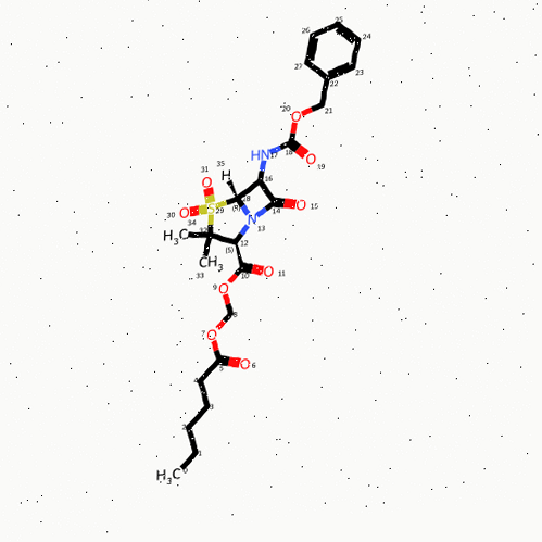 CCCCCC(=O)OCOC(=O)[C@@H]1N2C(=O)C(NC(=O)OCc3ccccc3)[C@H]2S(=O)(=O)C1(C)C